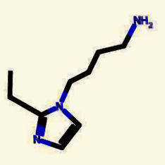 CCc1nccn1CCCCN